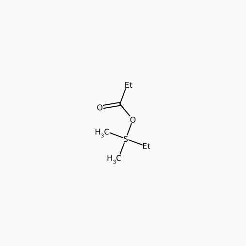 CCC(=O)OS(C)(C)CC